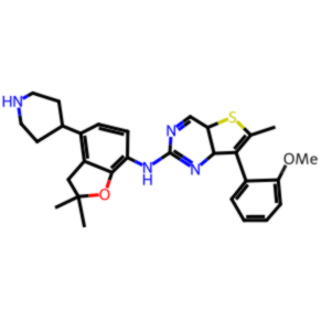 COc1ccccc1C1=C(C)SC2C=NC(Nc3ccc(C4CCNCC4)c4c3OC(C)(C)C4)=NC12